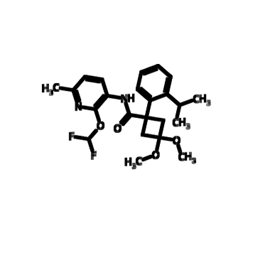 COC1(OC)CC(C(=O)Nc2ccc(C)nc2OC(F)F)(c2ccccc2C(C)C)C1